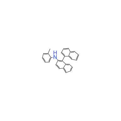 Cc1ccccc1Nc1ccc2ccccc2c1-c1cccc2ccccc12